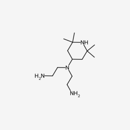 CC1(C)CC(N(CCN)CCN)CC(C)(C)N1